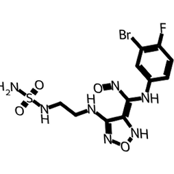 NS(=O)(=O)NCCNC1=NON/C1=C(/N=O)Nc1ccc(F)c(Br)c1